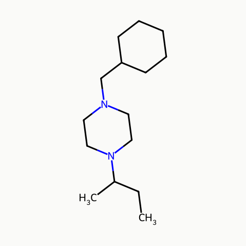 CCC(C)N1CCN(CC2CCCCC2)CC1